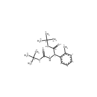 Cc1ncccc1N(NC(=O)OC(C)(C)C)C(=O)OC(C)(C)C